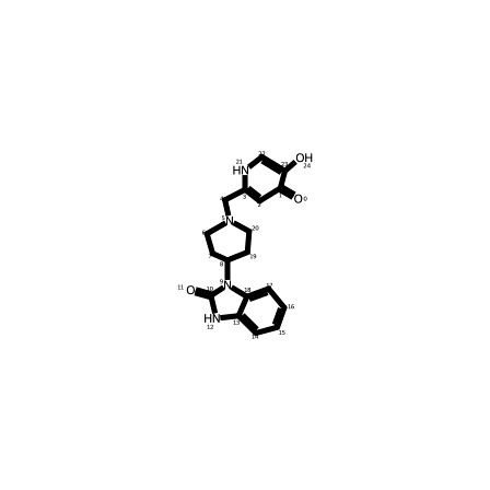 O=c1cc(CN2CCC(n3c(=O)[nH]c4ccccc43)CC2)[nH]cc1O